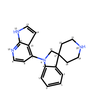 c1ccc2c(c1)N(c1ccnc3[nH]ccc13)CC21CCNCC1